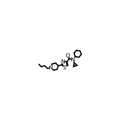 CCCCN1CCC(c2nc(C(=O)N(C3CCCCC3)C3CC3)cs2)CC1